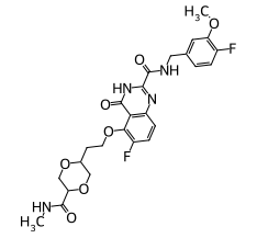 CNC(=O)C1COC(CCOc2c(F)ccc3nc(C(=O)NCc4ccc(F)c(OC)c4)[nH]c(=O)c23)CO1